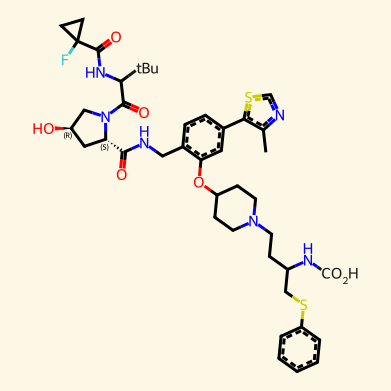 Cc1ncsc1-c1ccc(CNC(=O)[C@@H]2C[C@@H](O)CN2C(=O)C(NC(=O)C2(F)CC2)C(C)(C)C)c(OC2CCN(CCC(CSc3ccccc3)NC(=O)O)CC2)c1